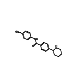 CC(C)(C)c1ccc(NC(=O)c2ccc(C3CCCCN3)cc2)cc1